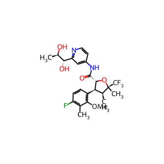 COc1c([C@H]2[C@H](C(=O)Nc3ccnc([C@H](O)[C@@H](C)O)c3)O[C@@](C)(C(F)(F)F)[C@H]2C)ccc(F)c1C